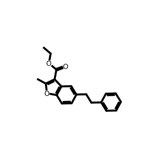 CCOC(=O)c1c(C)oc2ccc(CCc3ccccc3)cc12